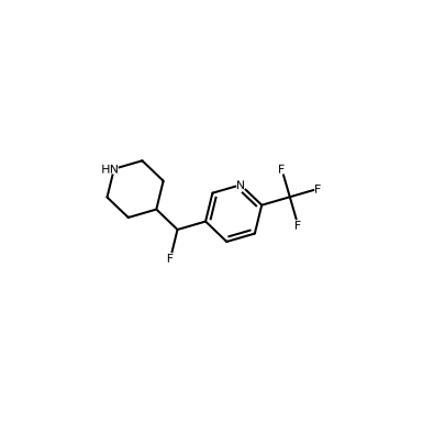 FC(c1ccc(C(F)(F)F)nc1)C1CCNCC1